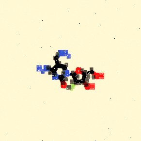 NCc1cn([C@@H]2O[C@H](CO)[C@@H](O)[C@@H]2F)c(=O)nc1N